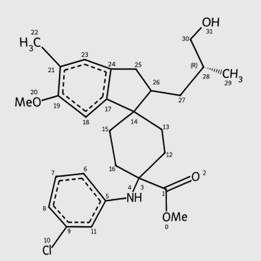 COC(=O)C1(Nc2cccc(Cl)c2)CCC2(CC1)c1cc(OC)c(C)cc1CC2C[C@@H](C)CO